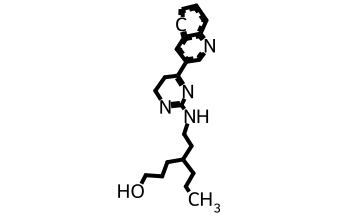 CCCC(CCCO)CCNC1=NCCC(c2cnc3ccccc3c2)=N1